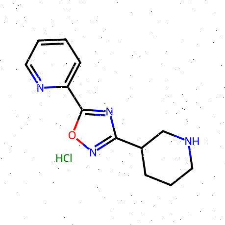 Cl.c1ccc(-c2nc(C3CCCNC3)no2)nc1